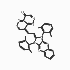 Cc1cccc(C)c1N1C(=C/C=c2/cnnc3c2=NN=CC3=O)N(c2c(C)cccc2C)c2nc3ccccc3nc21